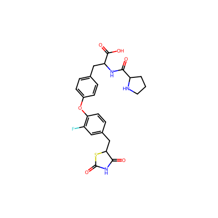 O=C1NC(=O)C(Cc2ccc(Oc3ccc(CC(NC(=O)C4CCCN4)C(=O)O)cc3)c(F)c2)S1